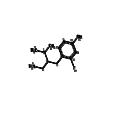 CN(C)C(CN)Cc1ccc(O)cc1F